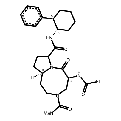 CCC(=O)N[C@H]1CN(C(=O)NC)CC[C@H]2CCC(C(=O)N[C@H]3CCCC[C@@H]3c3ccccc3)N2C1=O